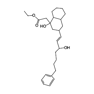 CCOC(=O)CC1(O)CC(C=CC(O)CCCCc2ccccc2)CC2CCCCC21